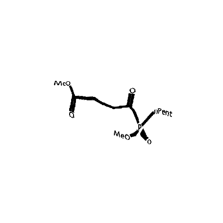 CCCCCP(=O)(OC)C(=O)CCC(=O)OC